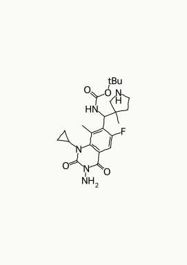 Cc1c(C(NC(=O)OC(C)(C)C)C2(C)CCNC2)c(F)cc2c(=O)n(N)c(=O)n(C3CC3)c12